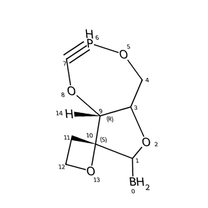 BC1OC2CO[PH]#CO[C@H]2[C@]12CCO2